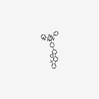 CC1(C)c2ccccc2-c2ccc3c(oc4cc(-c5ccc(-c6nc(-c7ccccc7)nc(-c7ccccn7)n6)cc5)ccc43)c21